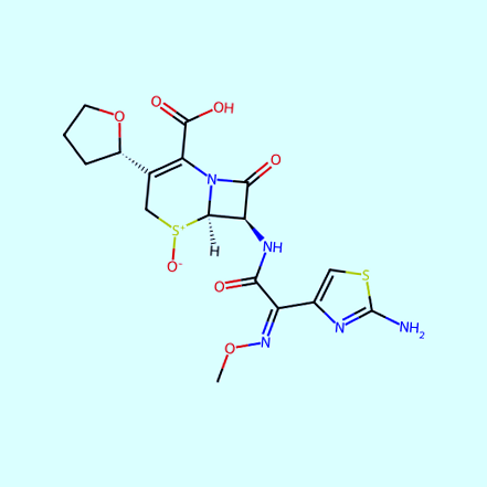 CO/N=C(\C(=O)N[C@@H]1C(=O)N2C(C(=O)O)=C([C@@H]3CCCO3)C[S+]([O-])[C@H]12)c1csc(N)n1